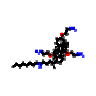 CCCCCCCCNCCC[C@@H](C)[C@H]1CC[C@H]2[C@@H]3[C@H](OCCN)C[C@@H]4C[C@H](OCCN)CC[C@]4(C)[C@H]3C[C@H](OCCN)[C@]12C